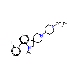 CCOC(=O)N1CCC(N2CCC3(CC2)CN(C(C)=O)c2c(-c4ccccc4F)cccc23)CC1